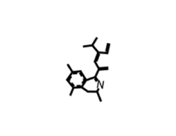 C=C/C(=C\C(=C)C1=NC(C)Cc2c(C)cc(C)cc21)C(C)C